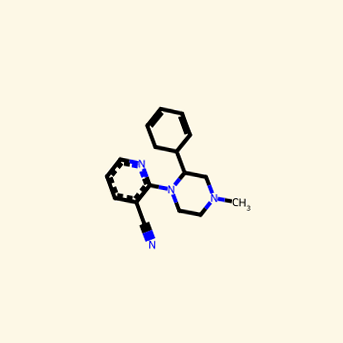 CN1CCN(c2ncccc2C#N)C(C2C=CC=CC2)C1